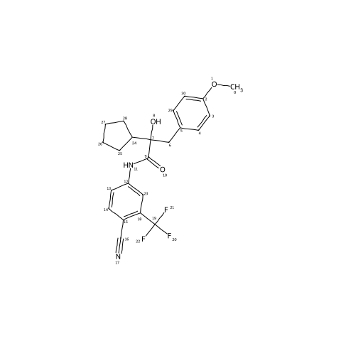 COc1ccc(CC(O)(C(=O)Nc2ccc(C#N)c(C(F)(F)F)c2)C2CCCC2)cc1